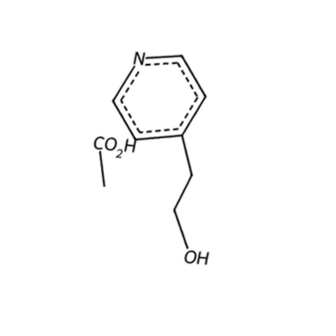 CC(=O)O.OCCc1ccncc1